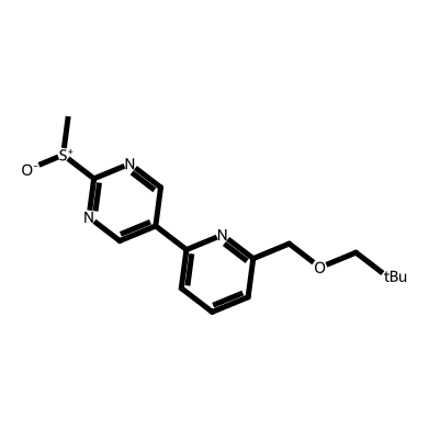 C[S+]([O-])c1ncc(-c2cccc(COCC(C)(C)C)n2)cn1